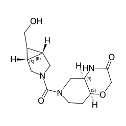 O=C1CO[C@H]2CCN(C(=O)N3C[C@@H]4C(CO)[C@@H]4C3)C[C@H]2N1